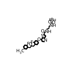 Cc1ccc(F)c(CC(=O)Cc2ccc(Oc3ccnc4cc(C(=O)NCCCNC(=O)OC(C)(C)C)sc34)cc2F)c1